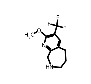 COc1nc2c(cc1C(F)(F)F)CCCNC2